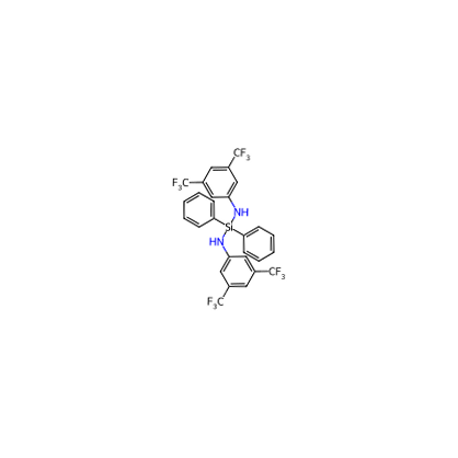 FC(F)(F)c1cc(N[Si](Nc2cc(C(F)(F)F)cc(C(F)(F)F)c2)(c2ccccc2)c2ccccc2)cc(C(F)(F)F)c1